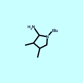 CC1CN(C(C)(C)C)C(N)C1C